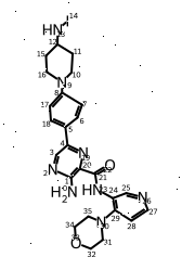 Nc1ncc(-c2ccc(N3CCC(NI)CC3)cc2)nc1C(=O)Nc1cnccc1N1CCOCC1